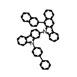 c1ccc(-c2ccc(-n3c4ccccc4c4ccc(-n5c6ccccc6c6cc7ccccc7c(-c7ccc8ccccc8c7)c65)cc43)cc2)cc1